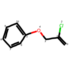 C=C(Cl)COc1[c]cccc1